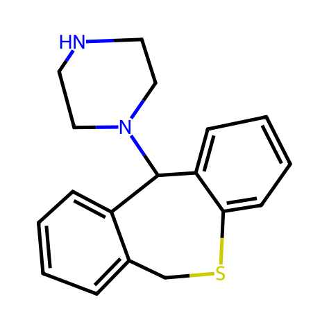 c1ccc2c(c1)CSc1ccccc1C2N1CCNCC1